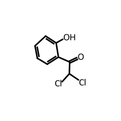 O=C(c1ccccc1O)C(Cl)Cl